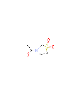 CC(=O)N1[CH]CS(=O)(=O)C1